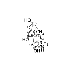 CC12CC[C@@H](O)CC1=C[C@H](O)C1C2CCC2(C)C1C[C@@H](O)C2O